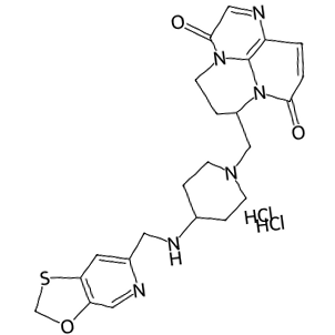 Cl.Cl.O=c1cnc2ccc(=O)n3c2n1CCC3CN1CCC(NCc2cc3c(cn2)OCS3)CC1